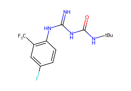 CC(C)(C)NC(=O)NC(=N)Nc1ccc(F)cc1C(F)(F)F